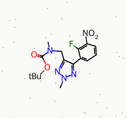 CN(Cc1nn(C)nc1-c1cccc([N+](=O)[O-])c1F)C(=O)OC(C)(C)C